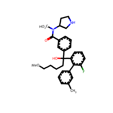 COCCCCC(O)(c1cccc(C(=O)N(C(=O)O)C2CCNC2)c1)c1cccc(F)c1-c1cccc(C)c1